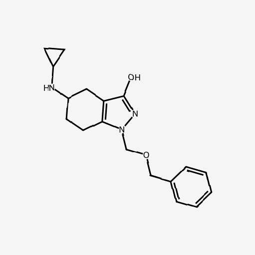 Oc1nn(COCc2ccccc2)c2c1CC(NC1CC1)CC2